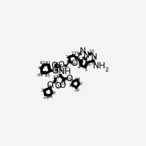 N#C[C@]1(c2ccc3c(N)ncnn23)CC[C@H](CO[P@](=O)(N[C@@H](CC(=O)OC2CCCC2)C(=O)OC2CCCC2)Oc2ccccc2)O1